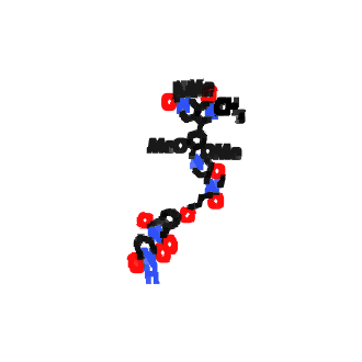 CNC(=O)N1CCc2c(-c3cc(OC)c(CN4CCC5(CC4)CN(C(=O)CCCOc4ccc6c(c4)C(=O)N(C4CCC(=O)NC4=O)C6=O)CCO5)c(OC)c3)cn(C)c(=O)c2C1